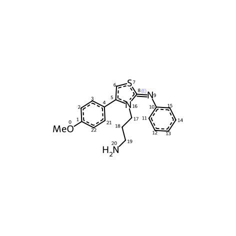 COc1ccc(-c2cs/c(=N/c3ccccc3)n2CCCN)cc1